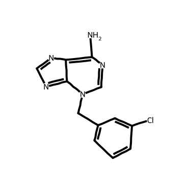 Nc1ncn(Cc2cccc(Cl)c2)c2ncnc1-2